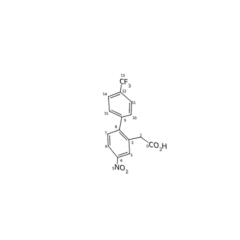 O=C(O)Cc1cc([N+](=O)[O-])ccc1-c1ccc(C(F)(F)F)cc1